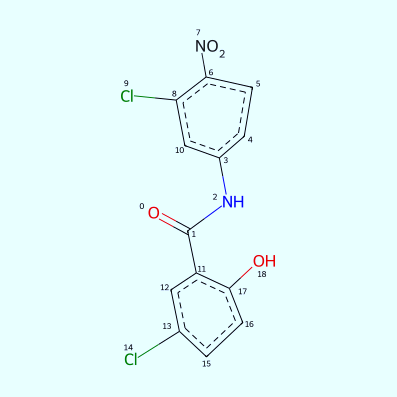 O=C(Nc1ccc([N+](=O)[O-])c(Cl)c1)c1cc(Cl)ccc1O